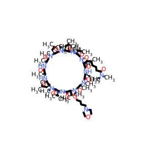 CC[C@@H]1NC(=O)[C@@H]2[C@@H]([C@H](C)CCCC(=O)N(C)C)ON2C(=O)[C@H](C(C)C)N(C)C(=O)[C@H](CC(C)C)N(C)C(=O)[C@H](CC(C)C)N(C)C(=O)[C@@H](C)NC(=O)[C@H](C)NC(=O)[C@H](CC(C)C)N(C)C(=O)[C@H](C(C)C)NC(=O)[C@H]([C@@H](C)OCCCCN2CCOCC2)N(C)C(=O)[C@@H](C)N(C)C1=O